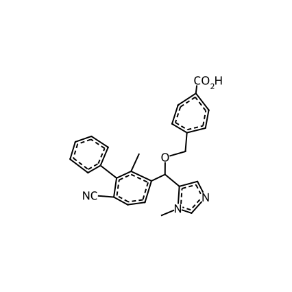 Cc1c(C(OCc2ccc(C(=O)O)cc2)c2cncn2C)ccc(C#N)c1-c1ccccc1